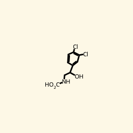 O=C(O)NCC(O)c1ccc(Cl)c(Cl)c1